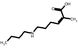 CCCCNCCCC=C(C)C(=O)O